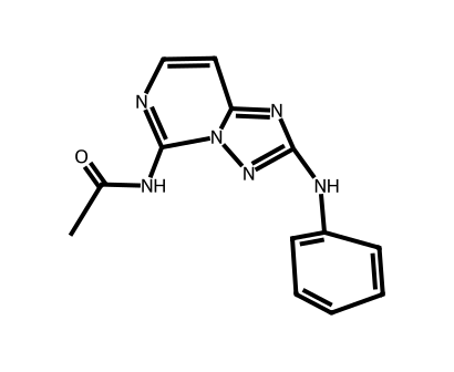 CC(=O)Nc1nccc2nc(Nc3ccccc3)nn12